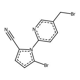 N#Cc1ccc(Br)n1-c1ccc(CBr)cn1